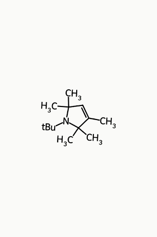 CC1=CC(C)(C)N(C(C)(C)C)C1(C)C